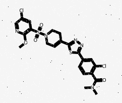 COc1ncc(Cl)cc1S(=O)(=O)N1CC=C(c2nnc(-c3ccc(C(=O)N(C)C)c(Cl)c3)s2)CC1